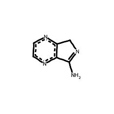 NC1=NCc2nccnc21